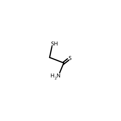 NC(=S)CS